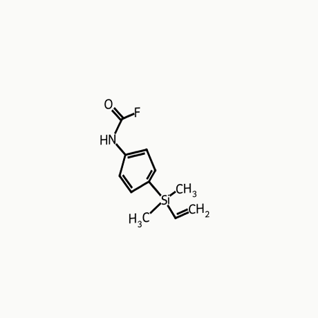 C=C[Si](C)(C)c1ccc(NC(=O)F)cc1